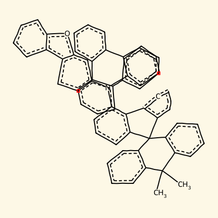 CC1(C)c2ccccc2C2(c3ccccc3-c3c(N(c4ccc5c(c4)oc4ccccc45)c4ccccc4-c4ccccc4-c4ccccc4-c4ccccc4)cccc32)c2ccccc21